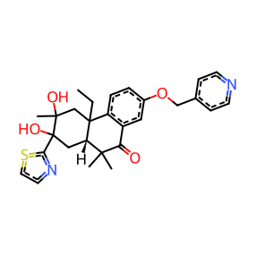 CCC12CC(C)(O)C(O)(c3nccs3)C[C@H]1C(C)(C)C(=O)c1cc(OCc3ccncc3)ccc12